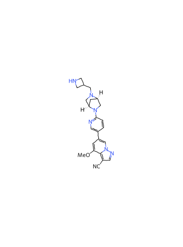 COc1cc(-c2ccc(N3C[C@H]4C[C@@H]3CN4CC3CNC3)nc2)cn2ncc(C#N)c12